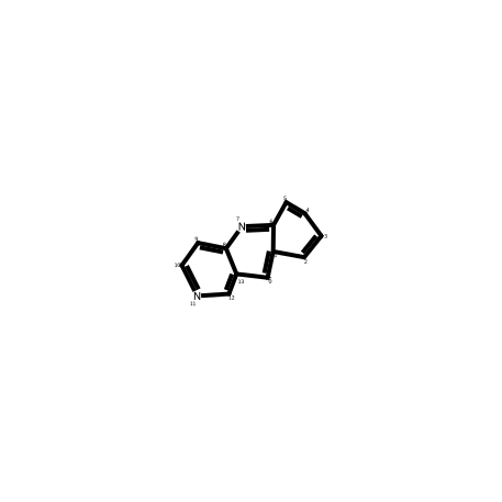 [c]1c2ccccc2nc2ccncc12